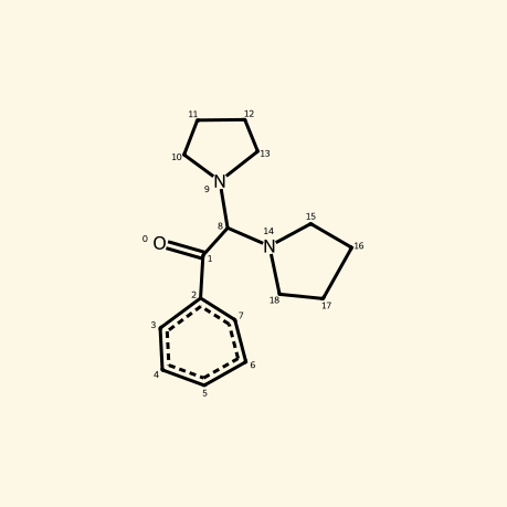 O=C(c1ccccc1)C(N1CCCC1)N1CCCC1